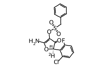 [2H][C@]1(c2c(F)cccc2Cl)OC(N)=C(OS(=O)(=O)Cc2ccccc2)C1=O